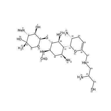 CN[C@@H]1[C@@H](O)[C@@H](O[C@H]2[C@H](NC=O)C[C@H](N)C([C@H]3OC(CNCC(N)CO)=CC[C@H]3N)[C@@H]2O)OC[C@]1(C)O